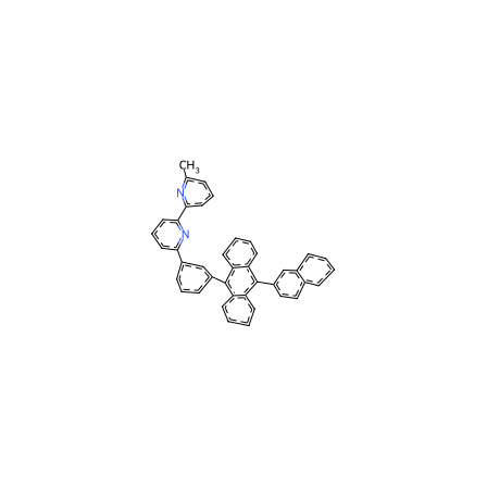 Cc1cccc(-c2cccc(-c3cccc(-c4c5ccccc5c(-c5ccc6ccccc6c5)c5ccccc45)c3)n2)n1